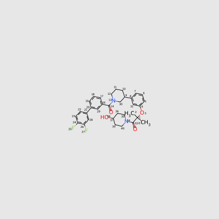 CC(C)(Oc1cccc(C2CCCN(C(=O)c3cccc(-c4ccc(F)c(F)c4)c3)C2)c1)C(=O)N1CCC(O)CC1